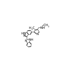 CCNCc1cncc(-c2ccc3[nH]nc(-c4nc5ccccc5[nH]4)c3c2)c1C